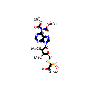 COC(=O)C(P=O)SC[C@H]1O[C@@H](n2cnc3c(N(C(=O)OC(C)(C)C)C(=O)OC(C)(C)C)ncnc32)[C@H](OC)[C@@H]1OC